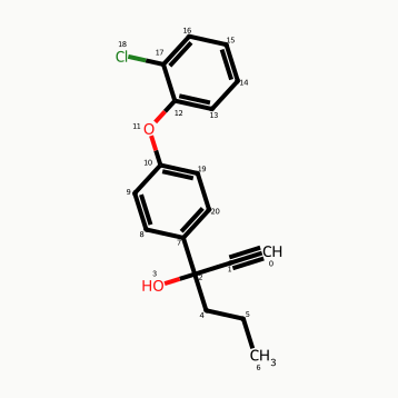 C#CC(O)(CCC)c1ccc(Oc2ccccc2Cl)cc1